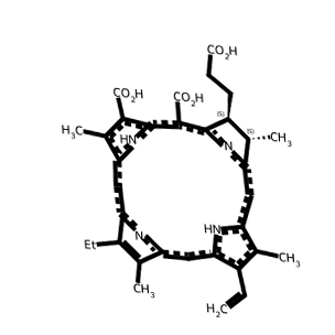 C=Cc1c(C)c2cc3nc(c(C(=O)O)c4[nH]c(cc5nc(cc1[nH]2)C(C)=C5CC)c(C)c4C(=O)O)[C@@H](CCC(=O)O)[C@@H]3C